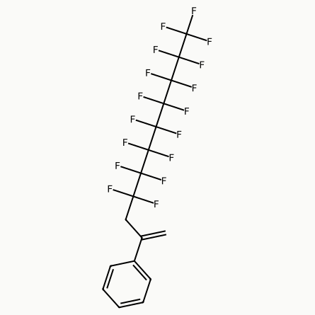 C=C(CC(F)(F)C(F)(F)C(F)(F)C(F)(F)C(F)(F)C(F)(F)C(F)(F)C(F)(F)F)c1ccccc1